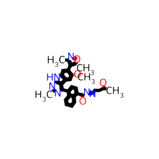 COc1cc2c(cc1-c1c(C)noc1C)[nH]c1nc(C)nc(-c3ccc(C(=O)N=NCCC(C)=O)c4ccccc34)c12